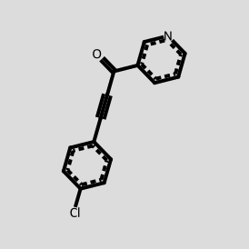 O=C(C#Cc1ccc(Cl)cc1)c1cccnc1